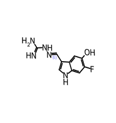 N=C(N)N/N=C/c1c[nH]c2cc(F)c(O)cc12